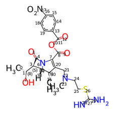 C[C@@H](O)[C@H]1C(=O)N2C(C(=O)OC(=O)c3ccc([N+](=O)[O-])cc3)=C(CN(C)CCSC(=N)N)[C@H](C)[C@H]12